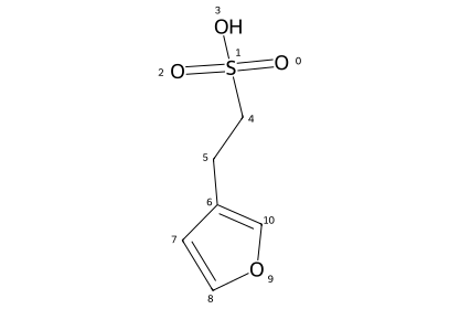 O=S(=O)(O)CCc1ccoc1